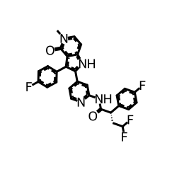 Cn1ccc2[nH]c(-c3ccnc(NC(=O)[C@@H](CC(F)F)c4ccc(F)cc4)c3)c(-c3ccc(F)cc3)c2c1=O